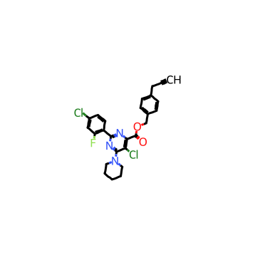 C#CCc1ccc(COC(=O)c2nc(-c3ccc(Cl)cc3F)nc(N3CCCCC3)c2Cl)cc1